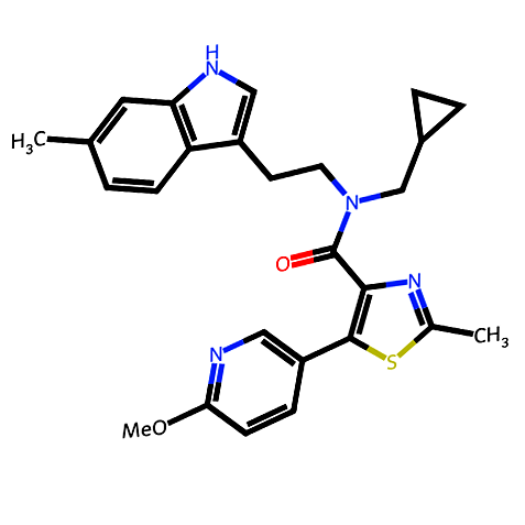 COc1ccc(-c2sc(C)nc2C(=O)N(CCc2c[nH]c3cc(C)ccc23)CC2CC2)cn1